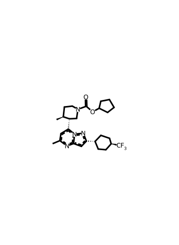 Cc1cc([C@H]2CN(C(=O)OC3CCCC3)CC[C@@H]2C)n2nc([C@H]3CC[C@H](C(F)(F)F)CC3)cc2n1